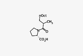 CCCCCCCCCC(C)C(=O)N1CCC[C@H]1C(=O)O